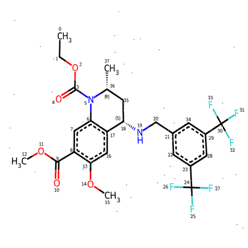 CCOC(=O)N1c2cc(C(=O)OC)c(OC)cc2[C@@H](NCc2cc(C(F)(F)F)cc(C(F)(F)F)c2)C[C@H]1C